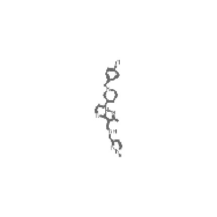 Cc1nn2c(C3CCCN(Cc4ccc(Cl)cc4)C3)ccnc2c1CNCc1ccn(C)n1